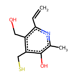 C=Cc1nc(C)c(O)c(CS)c1CO